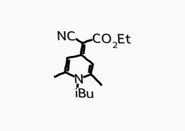 CCOC(=O)C(C#N)=C1C=C(C)N(C(C)CC)C(C)=C1